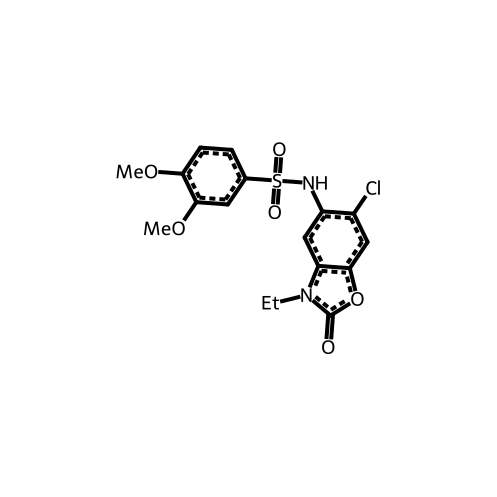 CCn1c(=O)oc2cc(Cl)c(NS(=O)(=O)c3ccc(OC)c(OC)c3)cc21